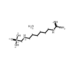 N=C(N)NCCCCCCNCP(=O)(O)O.O